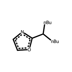 CCCCC(CCCC)c1ncco1